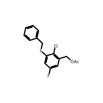 CC(=O)OCc1cc(F)cc(SCc2ccccc2)c1Cl